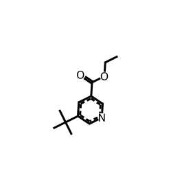 CCOC(=O)c1cncc(C(C)(C)C)c1